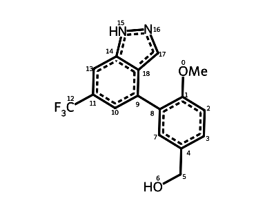 COc1ccc(CO)cc1-c1cc(C(F)(F)F)cc2[nH]ncc12